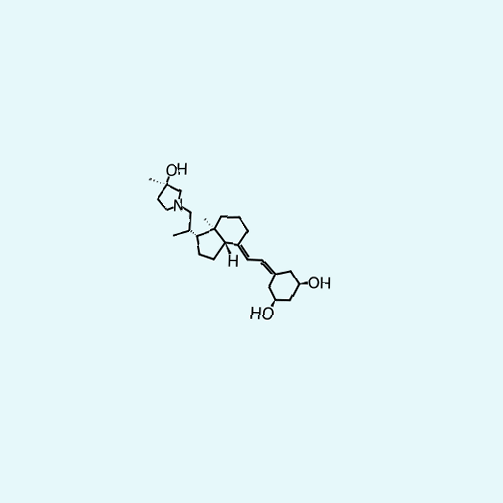 CC(CN1CC[C@@](C)(O)C1)[C@H]1CC[C@H]2/C(=C/C=C3/C[C@@H](O)C[C@@H](O)C3)CCC[C@]12C